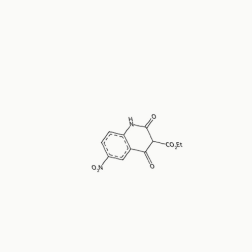 CCOC(=O)C1C(=O)Nc2ccc([N+](=O)[O-])cc2C1=O